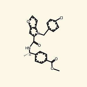 COC(=O)c1ccc([C@H](C)NC(=O)c2cc3occc3n2Cc2ccc(Cl)cc2)cc1